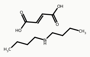 CCC[CH2][BiH][CH2]CCC.O=C(O)C=CC(=O)O